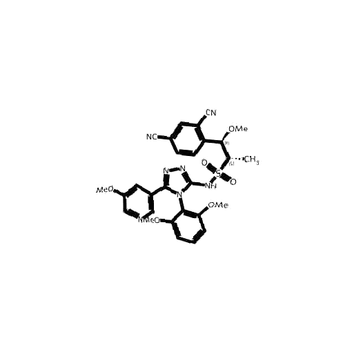 COc1cncc(-c2nnc(NS(=O)(=O)[C@@H](C)[C@H](OC)c3ccc(C#N)cc3C#N)n2-c2c(OC)cccc2OC)c1